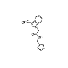 O=Cc1cn(CC(=O)NCc2cccs2)c2ccccc12